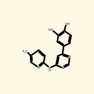 Oc1ccc(-c2cc(Nc3ccc(C(F)(F)F)cn3)ncn2)cc1O